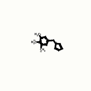 Cc1cc(C[C]2C=CC=C2)cc(C)c1C